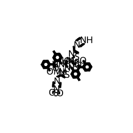 COc1ccccc1C(=O)c1cc(C)ccc1NC(=O)N(c1nc(CN2CCN(S(C)(=O)=O)CC2)cs1)N(C(=O)Nc1nc(CN2CCNCC2)cs1)c1ccc(C)cc1C(=O)c1ccccc1OC